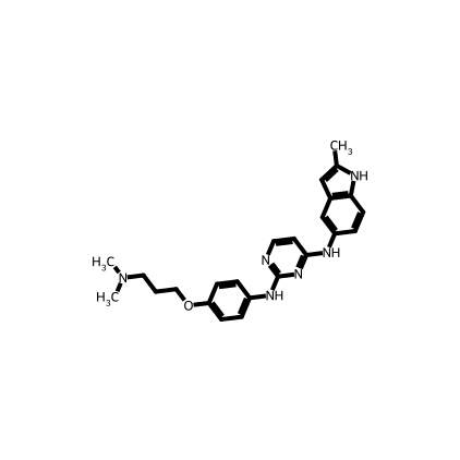 Cc1cc2cc(Nc3ccnc(Nc4ccc(OCCCN(C)C)cc4)n3)ccc2[nH]1